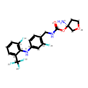 N[C@]1(OC(=O)NCc2ccc(Nc3c(F)cccc3C(F)(F)F)cc2F)CCOC1